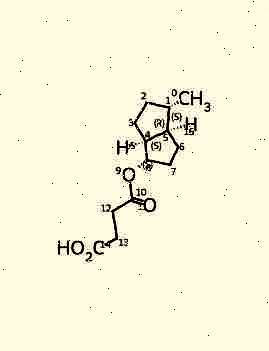 C[C@H]1CC[C@H]2[C@@H]1CC[C@@H]2OC(=O)CCC(=O)O